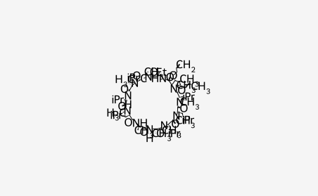 C=CCO[C@H]([C@H](C)C/C=C/C)[C@@H]1C(=O)N[C@H](CC)C(=O)N(C)CC(=O)N(C)[C@@H](CC(C)C)C(=O)N[C@H](C(C)C)C(=O)N(C)[C@H](CC(C)C)C(=O)N[C@H](C)C(=O)N[C@@H](C)C(=O)N(C)[C@H](CC(C)C)C(=O)N(C)[C@H](CC(C)C)C(=O)N(C)[C@H](C(C)C)C(=O)N1C